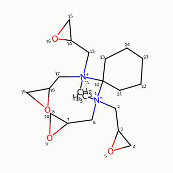 C[N+](CC1CO1)(CC1CO1)C1([N+](C)(CC2CO2)CC2CO2)CCCCC1